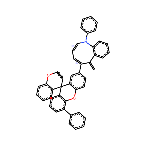 C=C1/C(c2ccc3c(c2)C2(c4ccccc4Oc4ccccc42)c2cccc(-c4ccccc4)c2O3)=C\C=C/N(c2ccccc2)c2ccccc21